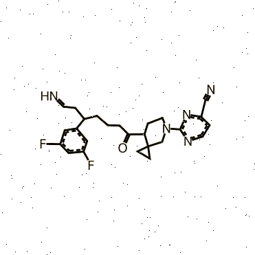 N#Cc1ccnc(N2CCC(C(=O)CCCC(CC=N)c3cc(F)cc(F)c3)C3(CC3)C2)n1